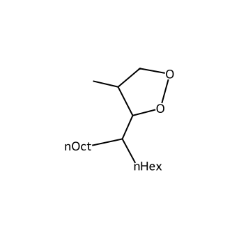 CCCCCCCCC(CCCCCC)C1OOCC1C